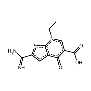 CCn1cc(C(=O)O)c(=O)c2cc(C(=N)N)sc21